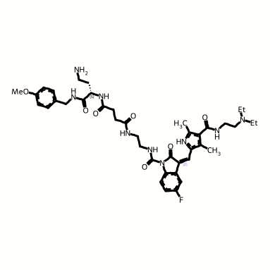 CCN(CC)CCNC(=O)c1c(C)[nH]c(/C=C2\C(=O)N(C(=O)NCCNC(=O)CCC(=O)N[C@@H](CCN)C(=O)NCc3ccc(OC)cc3)c3ccc(F)cc32)c1C